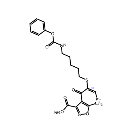 COC(=O)c1noc(C)c1C(=O)/C(=C\C(C)=O)SCCCCCNC(=O)Oc1ccccc1